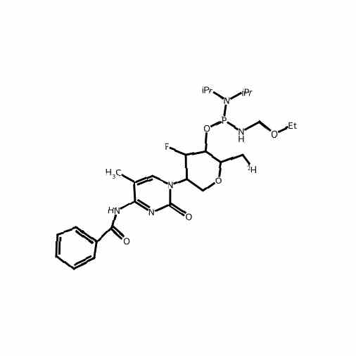 [2H]CC1OCC(n2cc(C)c(NC(=O)c3ccccc3)nc2=O)C(F)C1OP(NCOCC)N(C(C)C)C(C)C